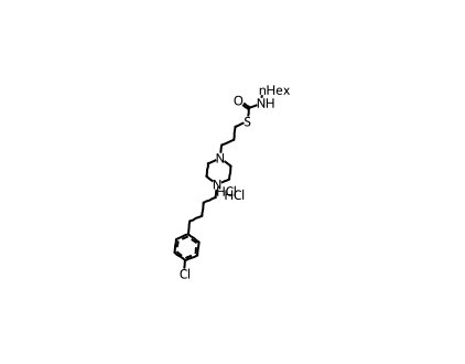 CCCCCCNC(=O)SCCCN1CCN(CCCCc2ccc(Cl)cc2)CC1.Cl.Cl